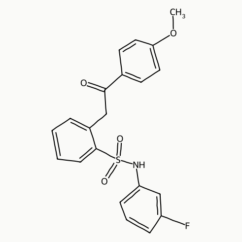 COc1ccc(C(=O)Cc2ccccc2S(=O)(=O)Nc2cccc(F)c2)cc1